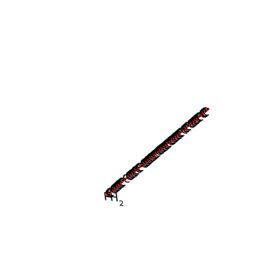 C=C=C=C=C=C=C=C=C=C=C=C=C=C=C=C=C=C=C=C=C=C=C=C=C=C=C=C=C=C=C=C=C=C=C=C=C=C=C=C=C=C=C=C=C=C=C=C=C=C=C=C=C=C=C=C=C=C=C=C=C=C=C=C=C=C=C=C=C=C=C=C=C=C=C=C=C=C=C=C=C=C=C=C=C=C=C=C=C=C=C=C=C=C=C=C=C=C=C=C=C=C=C=C=CP